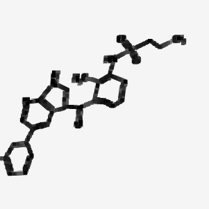 CCCS(=O)(=O)Nc1cccc(C(=O)c2c[nH]c3ncc(-c4ccccc4)cc23)c1C